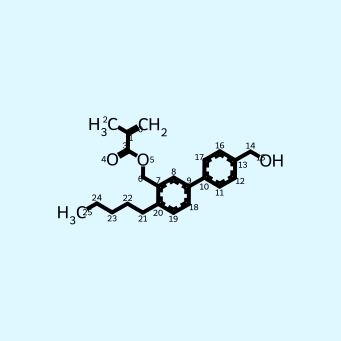 C=C(C)C(=O)OCc1cc(-c2ccc(CO)cc2)ccc1CCCCC